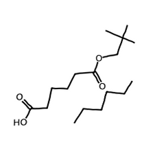 CC(C)(C)COC(=O)CCCCC(=O)O.CCCCCC